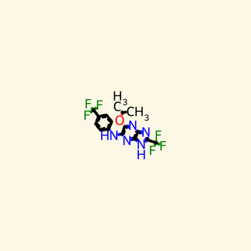 CC(C)Oc1nc2nc(C(F)(F)F)[nH]c2nc1Nc1ccc(C(F)(F)F)cc1